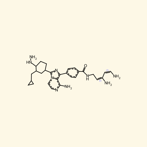 N/C=C\C(N)=C/CNC(=O)c1ccc(-c2nc(C3CCC(NN)C(CC4CC4)C3)n3ccnc(N)c23)cc1